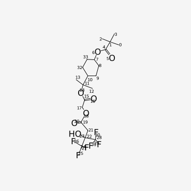 CC(C)(C)C(=O)OC1CCC(C(C)(C)OC(=O)COC(=O)CC(O)(C(F)(F)F)C(F)(F)F)CC1